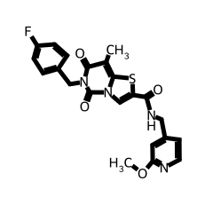 COc1cc(CNC(=O)c2cn3c(=O)n(Cc4ccc(F)cc4)c(=O)c(C)c3s2)ccn1